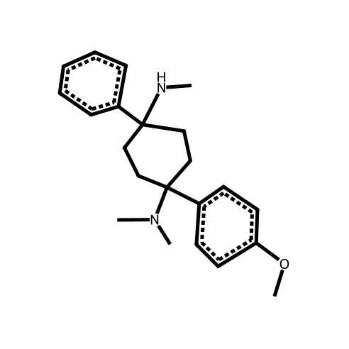 CNC1(c2ccccc2)CCC(c2ccc(OC)cc2)(N(C)C)CC1